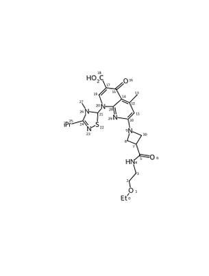 CCOCCNC(=O)C1CN(c2cc(C)c3c(=O)c(C(=O)O)cn(C4SN=C(C(C)C)N4C)c3n2)C1